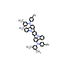 Cc1cc(C)cc(N(c2ccc(C(C)C)cc2)c2ccc3c4cc5c(cc4n4c6ccccc6c2c34)c2ccc(N(c3ccc(C(C)C)cc3)c3cc(C)cc(C)c3)c3c4ccccc4n5c23)c1